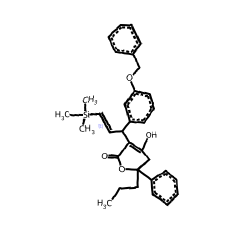 CCCC1(c2ccccc2)CC(O)=C(C(/C=C/[Si](C)(C)C)c2cccc(OCc3ccccc3)c2)C(=O)O1